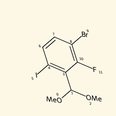 COC(OC)c1c(I)ccc(Br)c1F